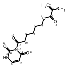 C=C(C)C(=O)OCCCCCC(=O)n1c(=O)cc[nH]c1=O